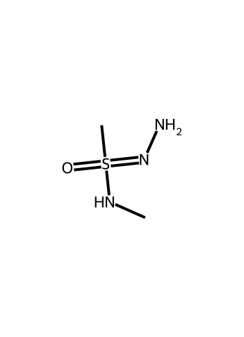 CNS(C)(=O)=NN